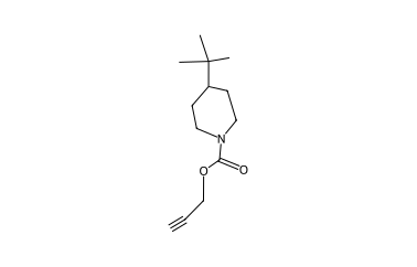 C#CCOC(=O)N1CCC(C(C)(C)C)CC1